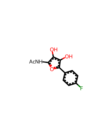 CC(=O)Nc1oc(-c2ccc(F)cc2)c(O)c1O